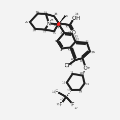 C[C@@H](c1ccc2c(Cl)c(O[C@H]3CC[C@@H](C(F)(F)F)CC3)ccc2c1)N1C2CCCC1CC(C(=O)O)C2